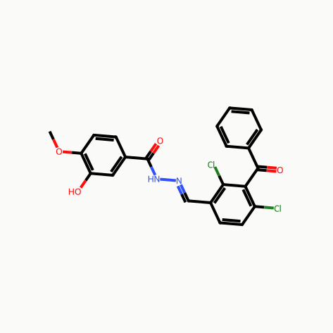 COc1ccc(C(=O)N/N=C/c2ccc(Cl)c(C(=O)c3ccccc3)c2Cl)cc1O